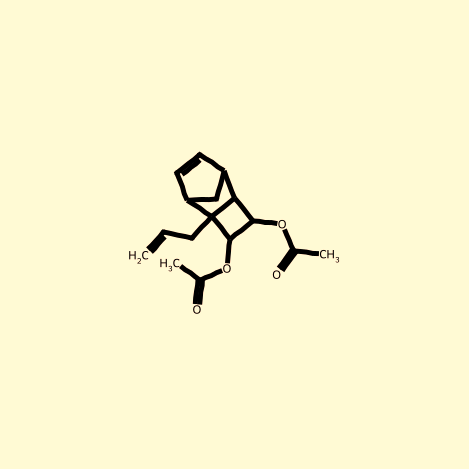 C=CCC12C3C=CC(C3)C1C(OC(C)=O)C2OC(C)=O